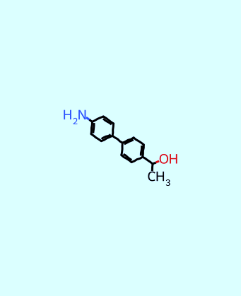 CC(O)c1ccc(-c2ccc(N)cc2)cc1